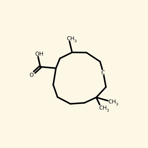 CC1CCCCC(C)(C)CCCCC(C(=O)O)C1